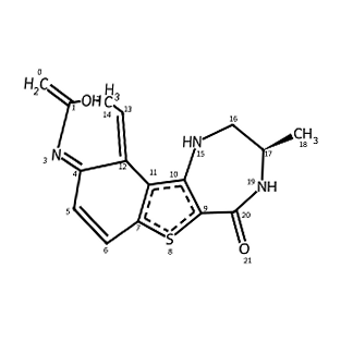 C=C(O)/N=C1/C=Cc2sc3c(c2/C1=C/C)NC[C@@H](C)NC3=O